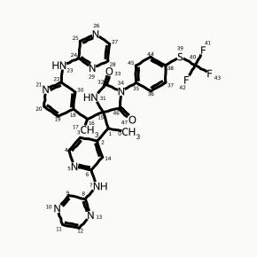 CC(c1ccnc(Nc2cnccn2)c1)C1(C(C)c2ccnc(Nc3cnccn3)c2)NC(=O)N(c2ccc(SC(F)(F)F)cc2)C1=O